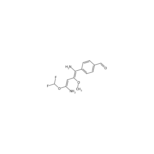 COC(/C=C(\N)OC(F)F)=C(/N)c1ccc(C=O)cc1